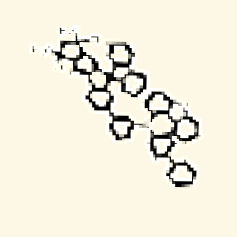 CC1(C)CC(C)(C)c2cc3c(cc21)-c1ccc(-c2cccc(N(c4ccc(-c5ccccc5)cc4)c4cccc5oc6ccccc6c45)c2)cc1C3(c1ccccc1)c1ccccc1